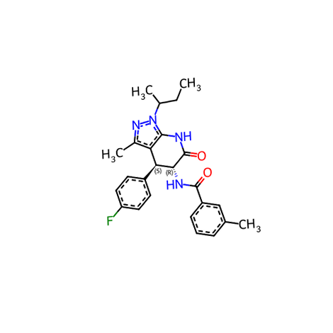 CCC(C)n1nc(C)c2c1NC(=O)[C@H](NC(=O)c1cccc(C)c1)[C@H]2c1ccc(F)cc1